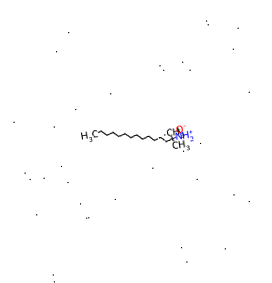 CCCCCCCCCCCCCC(C)(C)[NH2+][O-]